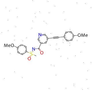 COc1ccc(C#Cc2cncc(C(=O)N=S(C)(=O)c3ccc(OC)cc3)c2)cc1